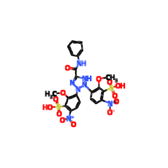 COc1c(N2N=C(C(=O)Nc3ccccc3)NN2c2ccc([N+](=O)[O-])c(S(=O)(=O)O)c2OC)ccc([N+](=O)[O-])c1S(=O)(=O)O